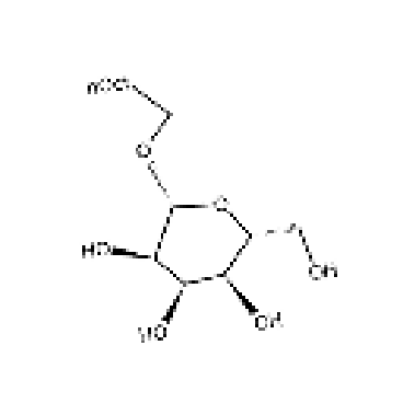 CCCCCCCCCO[C@@H]1O[C@H](CO)[C@@H](O)[C@@H](O)[C@H]1O